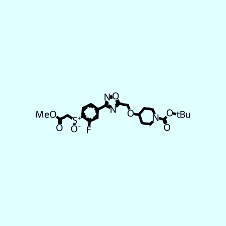 COC(=O)C[S+]([O-])c1ccc(-c2noc(COC3CCN(C(=O)OC(C)(C)C)CC3)n2)cc1F